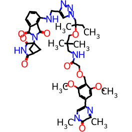 CCC(C)(Cn1cc(CNc2cccc3c2C(=O)N(C24CC(C2)C(=O)NC4=O)C3=O)nn1)OCC(C)(C)CNC(=O)COCc1c(OC)cc(-c2cn(C)c(=O)c(C)n2)cc1OC